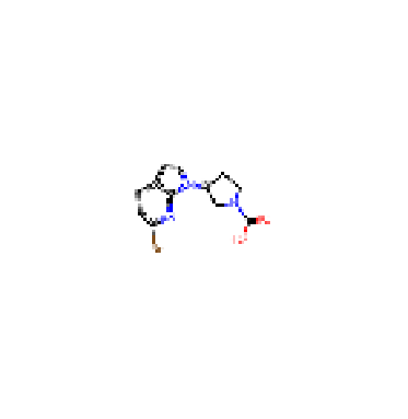 O=C(O)N1CC[C@H](n2ccc3ccc(Br)nc32)C1